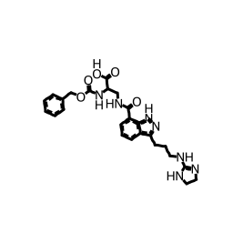 O=C(NC(CNC(=O)c1cccc2c(CCCNC3=NCCN3)n[nH]c12)C(=O)O)OCc1ccccc1